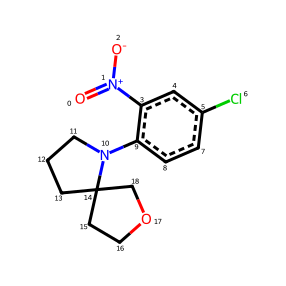 O=[N+]([O-])c1cc(Cl)ccc1N1CCCC12CCOC2